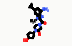 Cn1c(C(=O)N2CCN(C3CCC(O)CC3)C(=O)C2)nc2c(N)cc(C3CC3)cc21